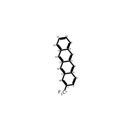 FC(F)(F)c1ccc2cc3cc4ccccc4cc3cc2c1